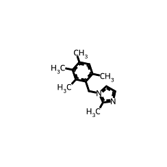 Cc1cc(C)c(Cn2ccnc2C)c(C)c1C